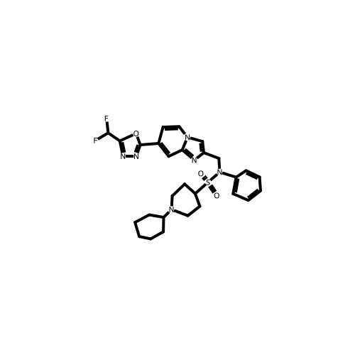 O=S(=O)(C1CCN(C2CCCCC2)CC1)N(Cc1cn2ccc(-c3nnc(C(F)F)o3)cc2n1)c1ccccc1